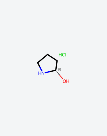 Cl.O[C@H]1CCCN1